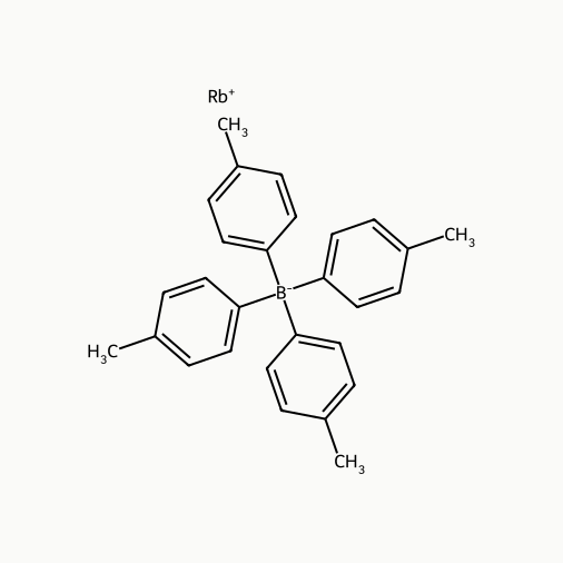 Cc1ccc([B-](c2ccc(C)cc2)(c2ccc(C)cc2)c2ccc(C)cc2)cc1.[Rb+]